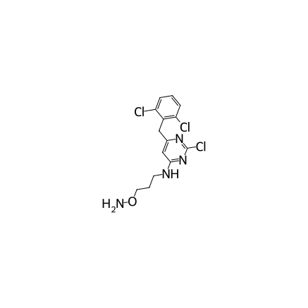 NOCCCNc1cc(Cc2c(Cl)cccc2Cl)nc(Cl)n1